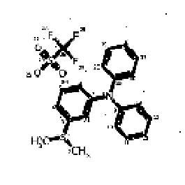 C[S+](C)c1cccc(N(c2ccccc2)c2ccccc2)c1.O=S(=O)([O-])C(F)(F)F